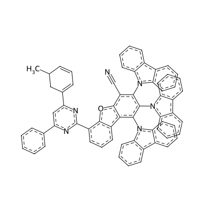 CC1C=CC=C(c2cc(-c3ccccc3)nc(-c3cccc4c3oc3c(C#N)c(-n5c6ccccc6c6ccccc65)c(-n5c6ccccc6c6ccccc65)c(-n5c6ccccc6c6ccccc65)c34)n2)C1